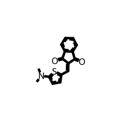 CN(C)c1ccc(C=C2C(=O)c3ccccc3C2=O)s1